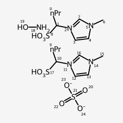 CCCC([n+]1ccn(C)c1)S(=O)(=O)O.CCCC([n+]1ccn(C)c1)S(=O)(=O)O.NO.O=S(=O)([O-])[O-]